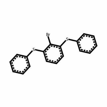 Brc1c(Sc2ccccc2)cccc1Sc1ccccc1